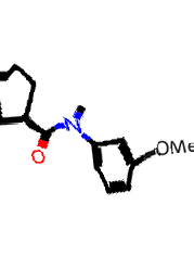 COc1cccc(N(C)C(=O)C2CCCC2)c1